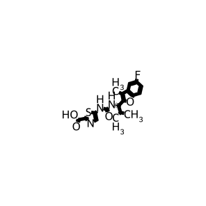 Cc1c([C@@H](NC(=O)Nc2cnc(C(=O)O)s2)C(C)C)oc2ccc(F)cc12